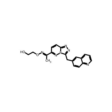 C/C(=N\OCCO)c1ccc2nnc(Cc3ccc4ncccc4c3)n2n1